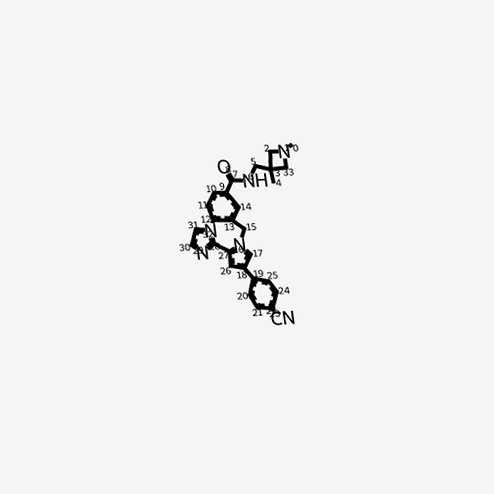 CN1CC(C)(CNC(=O)c2ccc3c(c2)Cn2cc(-c4ccc(C#N)cc4)cc2-c2nccn2-3)C1